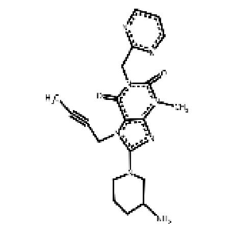 CC#CCn1c(N2CCCC(N)C2)nc2c1c(=O)n(Cc1ncccn1)c(=O)n2C